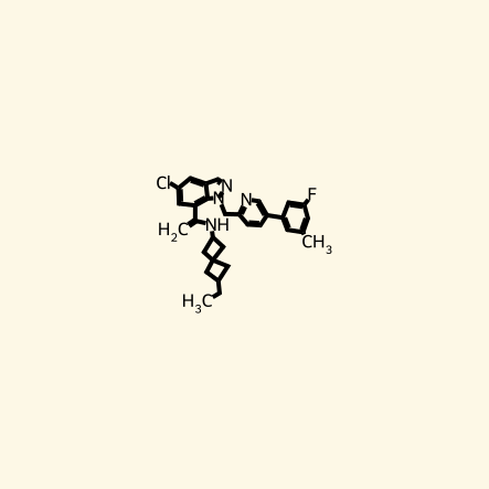 C=C(NC1CC2(CC(CC)C2)C1)c1cc(Cl)cc2cnn(Cc3ccc(-c4cc(C)cc(F)c4)cn3)c12